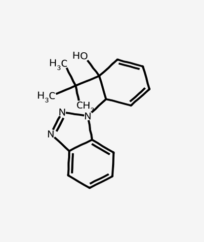 CC(C)(C)C1(O)C=CC=CC1n1nnc2ccccc21